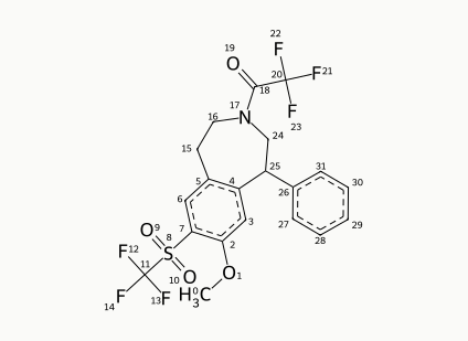 COc1cc2c(cc1S(=O)(=O)C(F)(F)F)CCN(C(=O)C(F)(F)F)CC2c1ccccc1